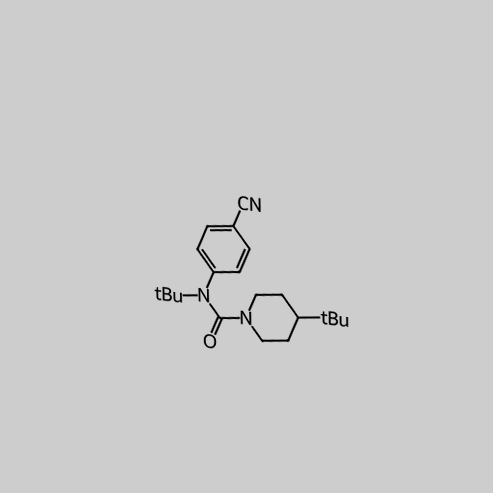 CC(C)(C)C1CCN(C(=O)N(c2ccc(C#N)cc2)C(C)(C)C)CC1